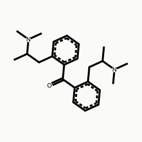 CC(Cc1ccccc1C(=O)c1ccccc1CC(C)N(C)C)N(C)C